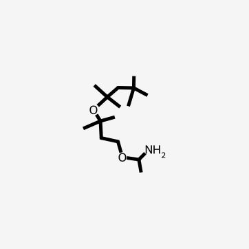 CC(N)OCCC(C)(C)OC(C)(C)CC(C)(C)C